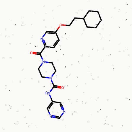 O=C(Nc1cncnc1)N1CCN(C(=O)c2ccc(OCCC3CCCCC3)cn2)CC1